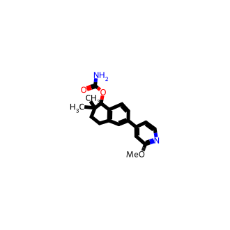 COc1cc(-c2ccc3c(c2)CCC(C)(C)C3OC(N)=O)ccn1